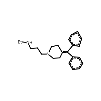 CCNCCCN1CCC(=C(c2ccccc2)c2ccccc2)CC1